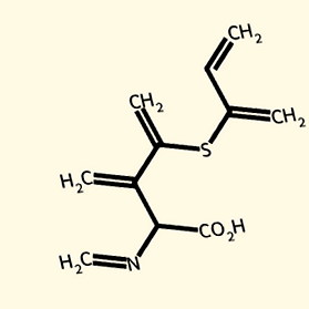 C=CC(=C)SC(=C)C(=C)C(N=C)C(=O)O